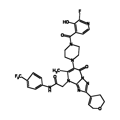 Cc1c(N2CCN(C(=O)c3ccnc(F)c3O)CC2)c(=O)n2nc(C3=CCOCC3)nc2n1CC(=O)Nc1ccc(C(F)(F)F)cc1